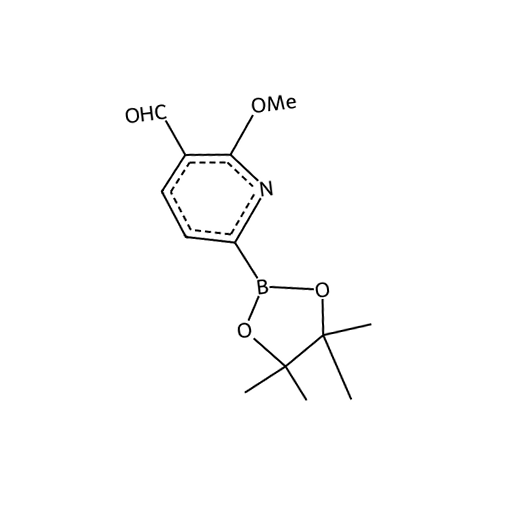 COc1nc(B2OC(C)(C)C(C)(C)O2)ccc1C=O